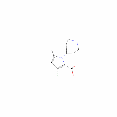 Cc1cc(Cl)c(C(=O)O)n1C1CCNCC1